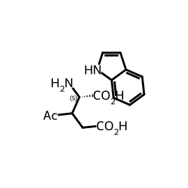 CC(=O)C(CC(=O)O)[C@H](N)C(=O)O.c1ccc2[nH]ccc2c1